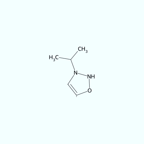 CC(C)N1C=[C]ON1